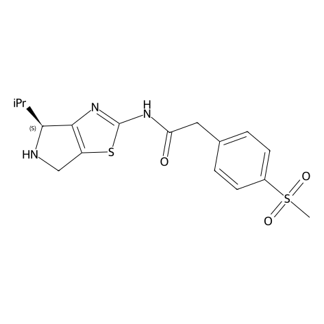 CC(C)[C@@H]1NCc2sc(NC(=O)Cc3ccc(S(C)(=O)=O)cc3)nc21